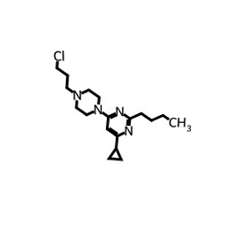 CCCCc1nc(C2CC2)cc(N2CCN(CCCCl)CC2)n1